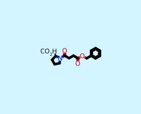 O=C(CCC(=O)N1CCC[C@H]1C(=O)O)OCc1ccccc1